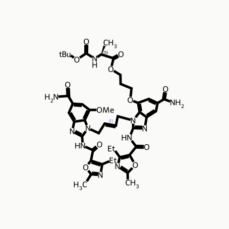 CCc1nc(C)oc1C(=O)Nc1nc2cc(C(N)=O)cc(OC)c2n1C/C=C/Cn1c(NC(=O)c2oc(C)nc2CC)nc2cc(C(N)=O)cc(OCCCOC(=O)[C@H](C)NC(=O)OC(C)(C)C)c21